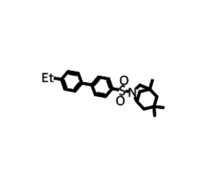 CCc1ccc(-c2ccc(S(=O)(=O)N3CC4(C)CC3CC(C)(C)C4)cc2)cc1